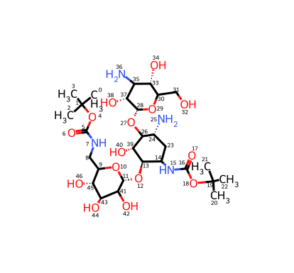 CC(C)(C)OC(=O)NCC1O[C@H](O[C@@H]2C(NC(=O)OC(C)(C)C)C[C@@H](N)C(O[C@H]3OC(CO)[C@@H](O)C(N)[C@H]3O)[C@H]2O)C(O)[C@@H](O)[C@@H]1O